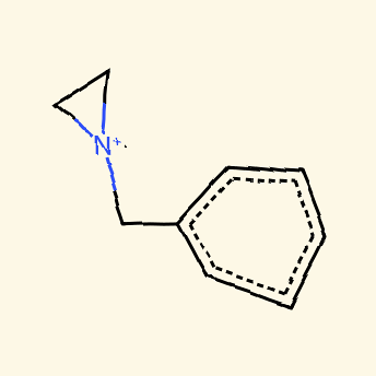 c1ccc(C[N+]2CC2)cc1